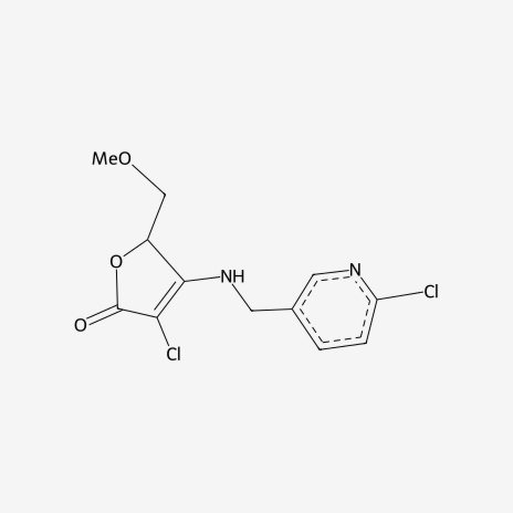 COCC1OC(=O)C(Cl)=C1NCc1ccc(Cl)nc1